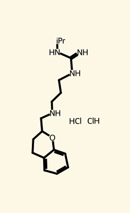 CC(C)NC(=N)NCCCNCC1CCc2ccccc2O1.Cl.Cl